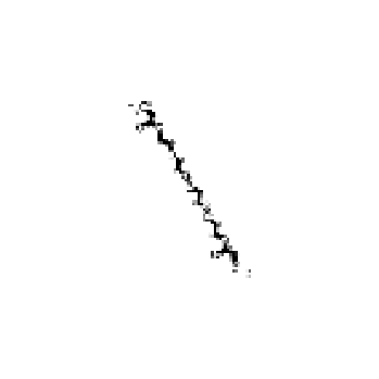 C=CC(=O)OCCOCCOOCCOOCCOC(=O)C=C